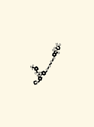 O=C1CCC(N2C(=O)c3ccc(OCCOCCOCCOCc4ccc(-n5c(NC(=O)c6cccc(C(F)(F)F)c6)nc6cc(CN7CCCCC7)ccc65)cc4)cc3C2=O)C(=O)N1